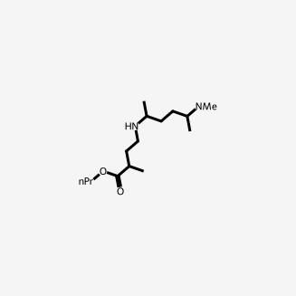 CCCOC(=O)C(C)CCNC(C)CCC(C)NC